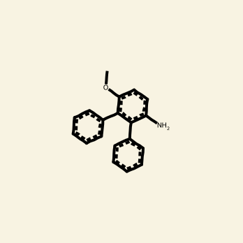 COc1ccc(N)c(-c2ccccc2)c1-c1ccccc1